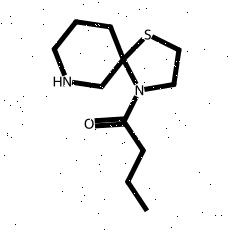 CCCC(=O)N1CCSC12CCCNC2